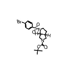 CC(C)(C)OC(=O)N1C[C@H]2CCN(S(=O)(=O)c3ccc(Br)cc3)[C@H]2C1